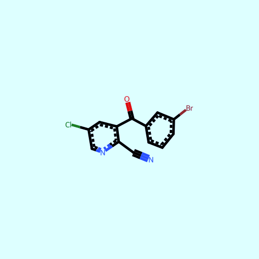 N#Cc1ncc(Cl)cc1C(=O)c1cccc(Br)c1